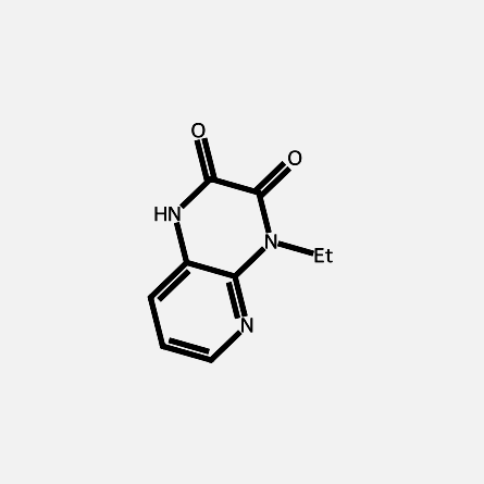 CCn1c(=O)c(=O)[nH]c2cccnc21